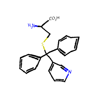 NC(CSC(c1ccccc1)(c1ccccc1)c1cccnc1)C(=O)O